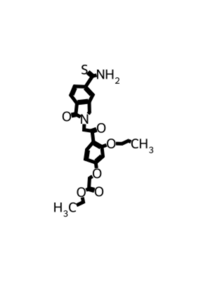 CCCOc1cc(OCC(=O)OCC)ccc1C(=O)CN1Cc2cc(C(N)=S)ccc2C1=O